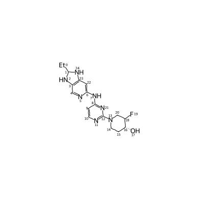 CCC1Nc2cnc(Nc3ccnc(N4CC[C@@H](O)C(F)C4)n3)cc2N1